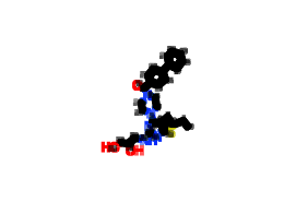 CCc1cc2c(N3CCN(C(=O)c4ccc(-c5ccccc5)cc4)CC3)nc(NC[C@@H](O)CO)nc2s1